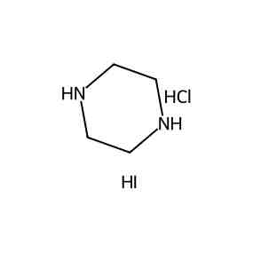 C1CNCCN1.Cl.I